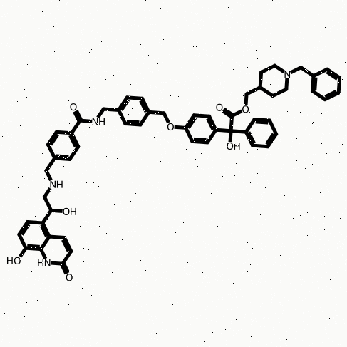 O=C(NCc1ccc(COc2ccc(C(O)(C(=O)OCC3CCN(Cc4ccccc4)CC3)c3ccccc3)cc2)cc1)c1ccc(CNCC(O)c2ccc(O)c3[nH]c(=O)ccc23)cc1